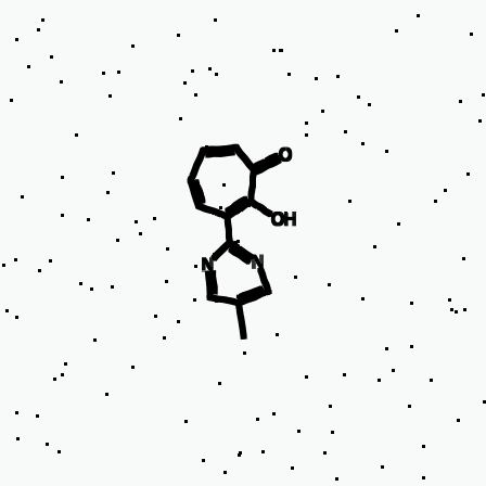 Cc1cnc(-c2ccccc(=O)c2O)nc1